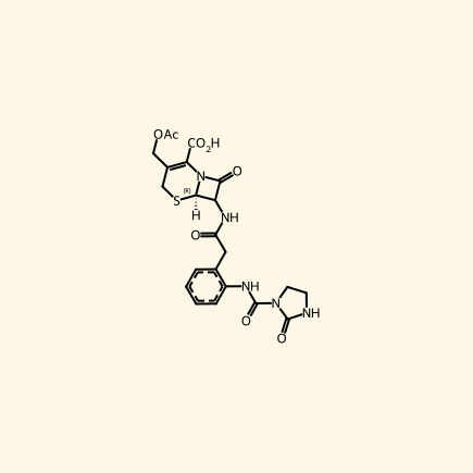 CC(=O)OCC1=C(C(=O)O)N2C(=O)C(NC(=O)Cc3ccccc3NC(=O)N3CCNC3=O)[C@H]2SC1